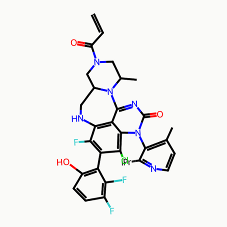 C=CC(=O)N1CC(C)N2c3nc(=O)n(-c4c(C)ccnc4C(C)C)c4c(Cl)c(-c5c(O)ccc(F)c5F)c(F)c(c34)NCC2C1